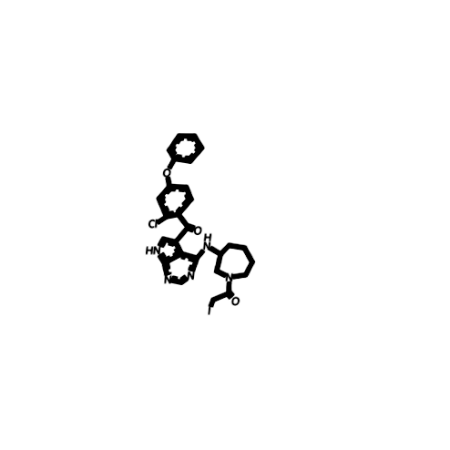 O=C(c1ccc(Oc2ccccc2)cc1Cl)c1c[nH]c2ncnc(NC3CCCCN(C(=O)CI)C3)c12